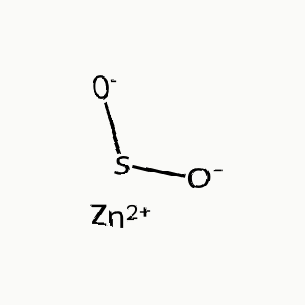 [O-]S[O-].[Zn+2]